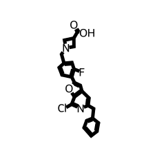 O=C(O)C1CN(Cc2ccc(-c3cc4cc(Cc5ccccc5)nc(Cl)c4o3)c(F)c2)C1